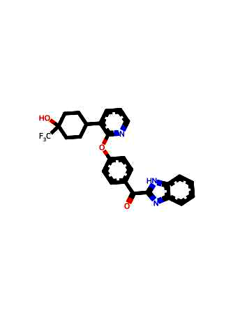 O=C(c1ccc(Oc2ncccc2C2CCC(O)(C(F)(F)F)CC2)cc1)c1nc2ccccc2[nH]1